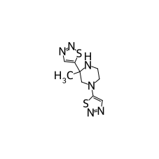 CC1(c2cnns2)CN(c2cnns2)CCN1